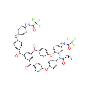 CC(=O)Nc1ccc(Oc2ccc(C(=O)c3cc(C(=O)c4ccc(Oc5ccc(NC(=O)C(F)(F)F)cc5)cc4)cc(C(=O)c4ccc(Oc5ccc(NC(=O)C(F)(F)F)cc5)cc4)c3)cc2)cc1